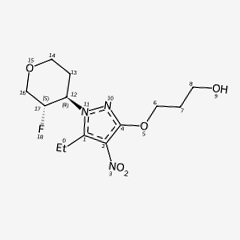 CCc1c([N+](=O)[O-])c(OCCCO)nn1[C@@H]1CCOC[C@H]1F